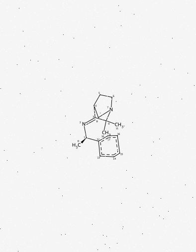 C[C@@H](/N=C1/C2CCN(C2)C1(C)C)c1ccccc1